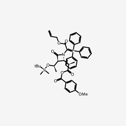 C=CCOC(=O)C(N1C(=O)[C@H]([C@@H](C)O[Si](C)(C)C(C)(C)C)[C@H]1[C@@H](C)C(=O)OC(=O)c1ccc(OC)cc1)=P(c1ccccc1)(c1ccccc1)c1ccccc1